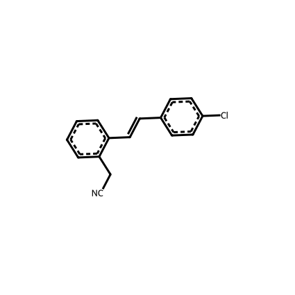 N#CCc1ccccc1/C=C/c1ccc(Cl)cc1